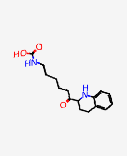 O=C(O)NCCCCCC(=O)C1CCc2ccccc2N1